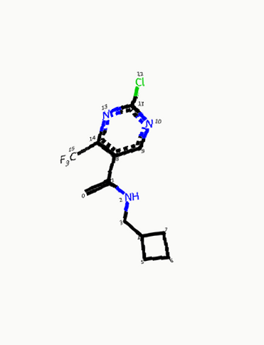 C=C(NCC1CCC1)c1cnc(Cl)nc1C(F)(F)F